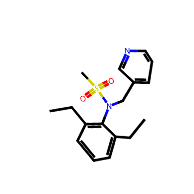 CCc1cccc(CC)c1N(Cc1cccnc1)S(C)(=O)=O